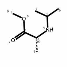 CC(C)N[C@H](C)C(=O)OI